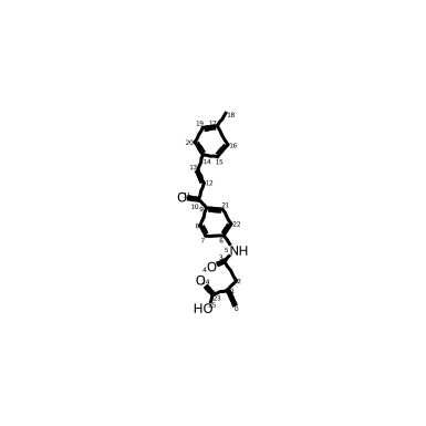 C=C(CC(=O)Nc1ccc(C(=O)C=Cc2ccc(C)cc2)cc1)C(=O)O